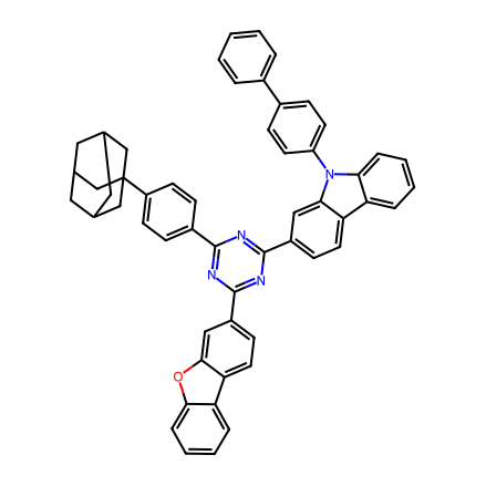 c1ccc(-c2ccc(-n3c4ccccc4c4ccc(-c5nc(-c6ccc(C78CC9CC(CC(C9)C7)C8)cc6)nc(-c6ccc7c(c6)oc6ccccc67)n5)cc43)cc2)cc1